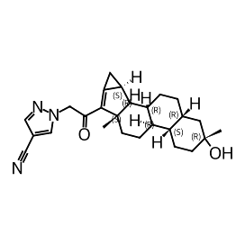 C[C@@]1(O)CC[C@H]2[C@H](CC[C@@H]3[C@@H]2CC[C@]2(C)C(C(=O)Cn4cc(C#N)cn4)=C4C[C@H]4[C@@H]32)C1